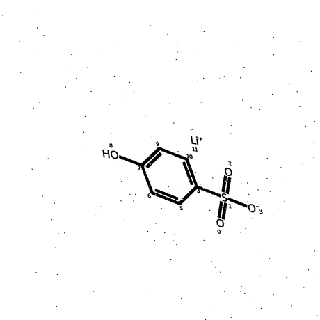 O=S(=O)([O-])c1ccc(O)cc1.[Li+]